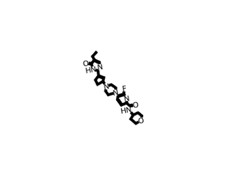 CCc1cnc(C2=CC(N3CCN(c4ccc(C(=O)NC5CCOCC5)nc4F)CC3)CC2)[nH]c1=O